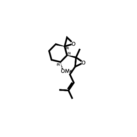 CO[C@@H]1CCC[C@]2(CO2)[C@H]1C1(C)OC1CC=C(C)C